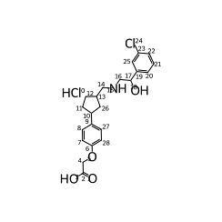 Cl.O=C(O)COc1ccc(C2CCC(CNCC(O)c3cccc(Cl)c3)C2)cc1